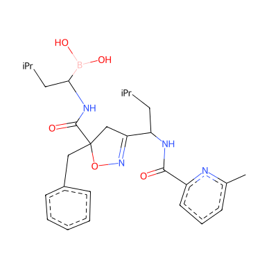 Cc1cccc(C(=O)NC(CC(C)C)C2=NOC(Cc3ccccc3)(C(=O)NC(CC(C)C)B(O)O)C2)n1